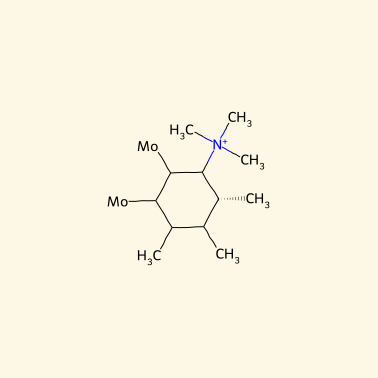 CC1[CH]([Mo])[CH]([Mo])C([N+](C)(C)C)[C@H](C)C1C